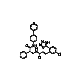 O=C(/C=C/c1cc(Cl)ccc1-c1nnn[nH]1)NC[C@H](C(=O)Nc1ccc(-c2ccncc2)cc1)c1ccccc1